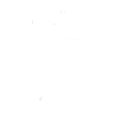 C=CC(=O)[O-].C[CH2][Sn+]([CH2]C)[CH2]CCCCC(C)C